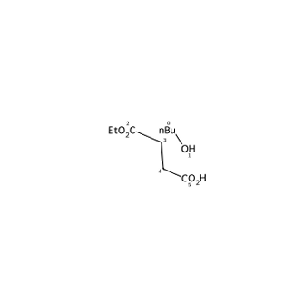 CCCCO.CCOC(=O)CCC(=O)O